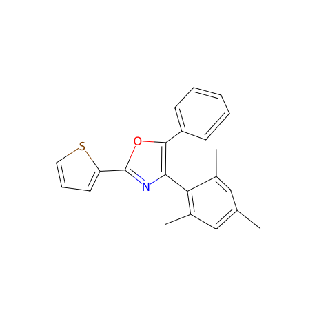 Cc1cc(C)c(-c2nc(-c3cccs3)oc2-c2ccccc2)c(C)c1